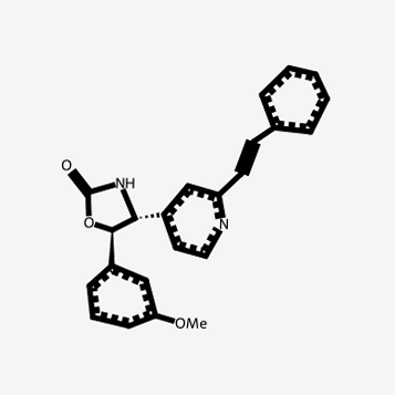 COc1cccc([C@H]2OC(=O)N[C@@H]2c2ccnc(C#Cc3ccccc3)c2)c1